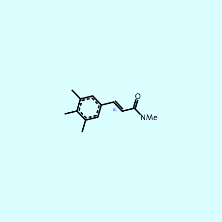 CNC(=O)/C=C/c1cc(C)c(C)c(C)c1